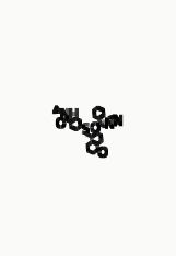 O=C(NC1CC1)c1ccc(SCc2c(O[C@H](Cn3ccnc3)c3ccccc3)ccc3c2CCCC3=O)cc1